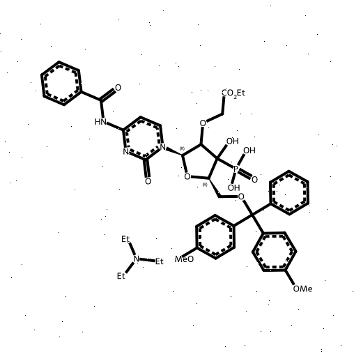 CCN(CC)CC.CCOC(=O)COC1[C@H](n2ccc(NC(=O)c3ccccc3)nc2=O)O[C@H](COC(c2ccccc2)(c2ccc(OC)cc2)c2ccc(OC)cc2)C1(O)P(=O)(O)O